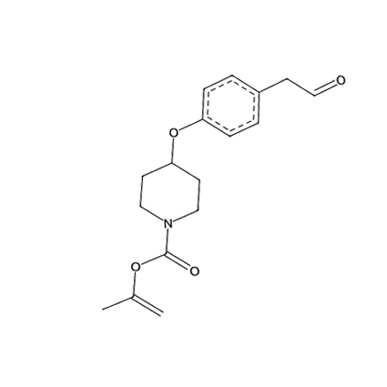 C=C(C)OC(=O)N1CCC(Oc2ccc(CC=O)cc2)CC1